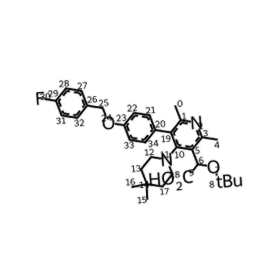 Cc1nc(C)c(C(OC(C)(C)C)C(=O)O)c(N2CCC(C)(C)CC2)c1-c1ccc(OCc2ccc(F)cc2)cc1